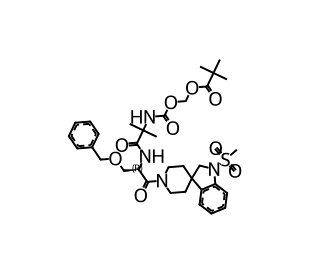 CC(C)(C)C(=O)OCOC(=O)NC(C)(C)C(=O)N[C@H](COCc1ccccc1)C(=O)N1CCC2(CC1)CN(S(C)(=O)=O)c1ccccc12